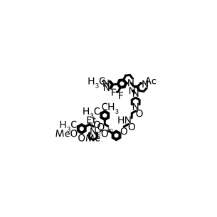 CC[C@H](C(=O)N1CCCC[C@H]1C(=O)O[C@H](CCc1ccc(C)c(C)c1)c1cccc(OCC(=O)NCCC(=O)N2CCC(n3nc(N4CCCc5cc(-c6cnn(C)c6)c(C(F)F)cc54)c4c3CCN(C(C)=O)C4)CC2)c1)c1cc(C)c(OC)c(OC)c1